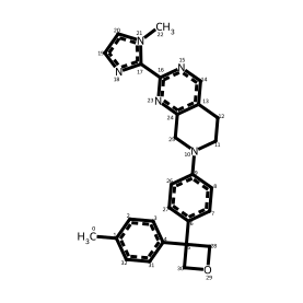 Cc1ccc(C2(c3ccc(N4CCc5cnc(-c6nccn6C)nc5C4)cc3)COC2)cc1